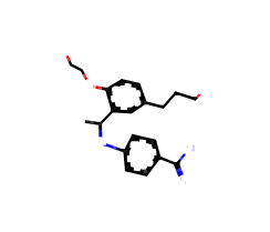 N=C(N)c1ccc(NC(C(=O)O)c2cc(CCCO)ccc2OCCO)cc1